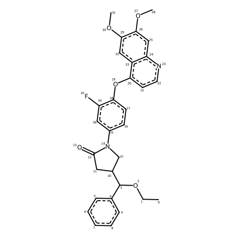 CCOC(c1ccccc1)C1CC(=O)N(c2ccc(Oc3ccnc4cc(OC)c(OC)cc34)c(F)c2)C1